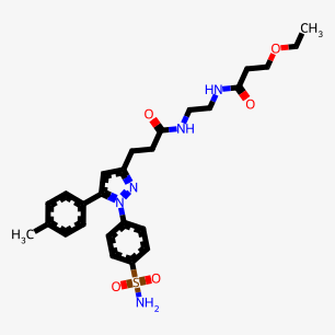 CCOCCC(=O)NCCNC(=O)CCc1cc(-c2ccc(C)cc2)n(-c2ccc(S(N)(=O)=O)cc2)n1